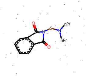 CCCN(CCC)SN1C(=O)c2ccccc2C1=O